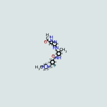 CC(=O)c1cc2cc(NCc3cc(NC(=O)c4ccc(CN5CCN(C)CC5)c(F)c4)ccc3C)cnc2[nH]1